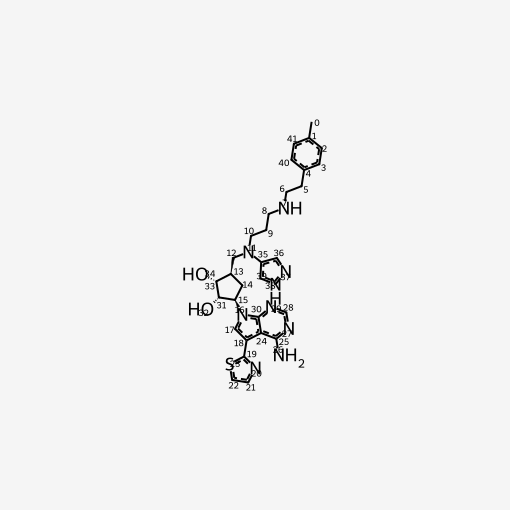 Cc1ccc(CCNCCCN(C[C@H]2C[C@@H](n3cc(-c4nccs4)c4c(N)ncnc43)[C@H](O)[C@@H]2O)c2cn[nH]c2)cc1